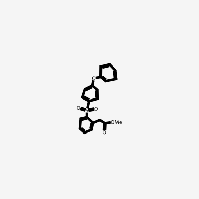 COC(=O)Cc1ccccc1S(=O)(=O)c1ccc(Oc2ccccc2)cc1